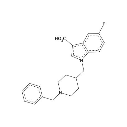 O=C(O)c1cn(CC2CCN(Cc3ccccc3)CC2)c2ccc(F)cc12